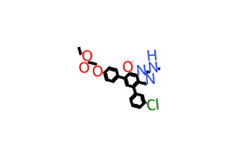 CCOC(=O)COc1ccc(-c2cc(-c3cccc(Cl)c3)c3cnc(NC)nc3c2OC)cc1